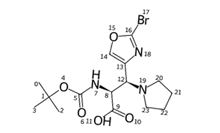 CC(C)(C)OC(=O)N[C@H](C(=O)O)[C@@H](c1coc(Br)n1)N1CCCC1